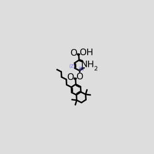 C=C(/C=C\C(=C/N)OC(=O)c1cc2c(cc1CCCCC)C(C)(C)CCC2(C)C)C(=O)O